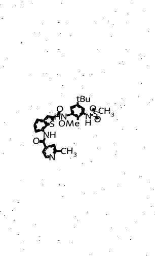 COc1c(NC(=O)c2cc3cccc(NC(=O)c4ccnc(C)c4)c3s2)cc(C(C)(C)C)cc1NS(C)(=O)=O